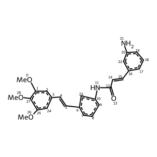 COc1cc(C=Cc2cccc(NC(=O)/C=C/c3cccc(N)c3)c2)cc(OC)c1OC